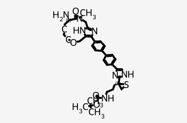 CN1Cc2nc(-c3ccc(-c4ccc(-c5c[nH]c([C@@]6(CCCNC(=O)OC(C)(C)C)CS6)n5)cc4)cc3)c([nH]2)COCCCC[C@H](N)C1=O